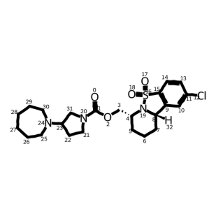 O=C(OC[C@H]1CCC[C@H]2c3cc(Cl)ccc3S(=O)(=O)N12)N1CCC(N2CCCCCC2)C1